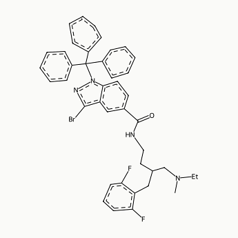 CCN(C)CC(CCNC(=O)c1ccc2c(c1)c(Br)nn2C(c1ccccc1)(c1ccccc1)c1ccccc1)Cc1c(F)cccc1F